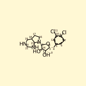 C[C@@]1(O)[C@@H](Cc2ccc(Cl)c(Cl)c2)O[C@@H](N2CCC3CNCNC32)[C@@H]1O